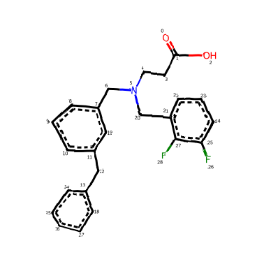 O=C(O)CCN(Cc1cccc(Cc2ccccc2)c1)Cc1cccc(F)c1F